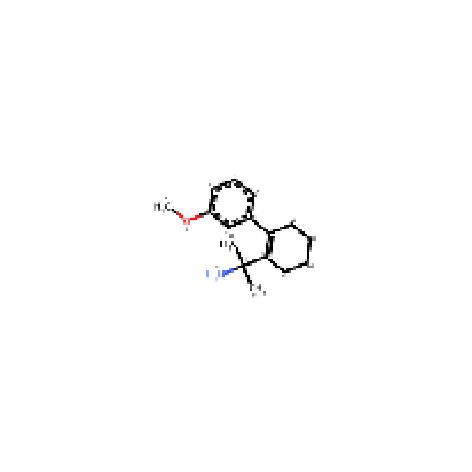 COc1cccc(C2=C(C(C)(C)N)CCCC2)c1